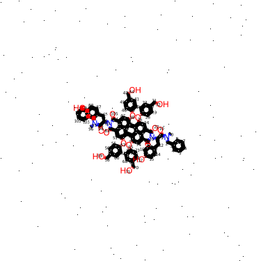 CN(Cc1ccccc1)C(=O)C(Cc1ccc(O)cc1)N1C(=O)c2cc(Oc3ccc(CO)cc3)c3c4c(Oc5ccc(CO)cc5)cc5c6c(cc(Oc7ccc(CO)cc7)c(c7c(Oc8ccc(CO)cc8)cc(c2c37)C1=O)c64)C(=O)N(C(Cc1ccc(O)cc1)C(=O)N(C)Cc1ccccc1)C5=O